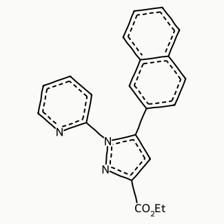 CCOC(=O)c1cc(-c2ccc3ccccc3c2)n(-c2ccccn2)n1